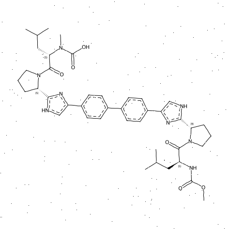 COC(=O)N[C@@H](CC(C)C)C(=O)N1CCC[C@H]1c1nc(-c2ccc(-c3ccc(-c4c[nH]c([C@@H]5CCCN5C(=O)[C@H](CC(C)C)N(C)C(=O)O)n4)cc3)cc2)c[nH]1